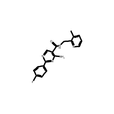 Cc1cccnc1CNC(=O)c1cnc(-c2ccc(F)cc2)nc1N